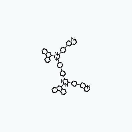 c1cnc2ccc(-c3ccc(-c4cc(-c5ccc(-c6ccc(-c7cc(-c8ccc(-c9ccc%10ncccc%10c9)cc8)nc(-c8cc9ccccc9c9ccccc89)n7)cc6)cc5)nc(-c5cc6ccccc6c6ccccc56)n4)cc3)cc2c1